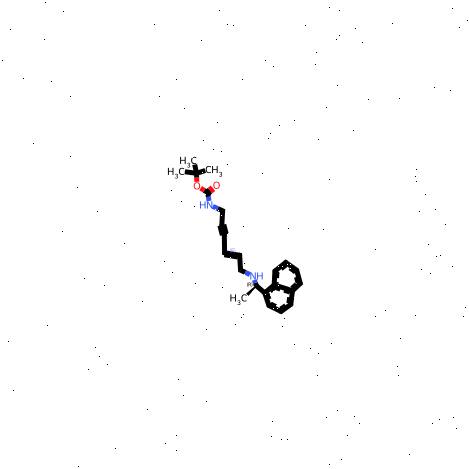 C[C@@H](NC/C=C/C#CCNC(=O)OC(C)(C)C)c1cccc2ccccc12